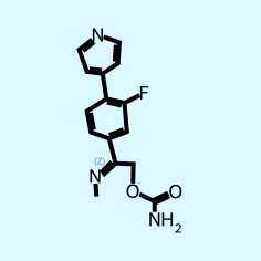 C/N=C(\COC(N)=O)c1ccc(-c2ccncc2)c(F)c1